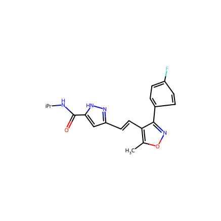 Cc1onc(-c2ccc(F)cc2)c1/C=C/c1cc(C(=O)NC(C)C)[nH]n1